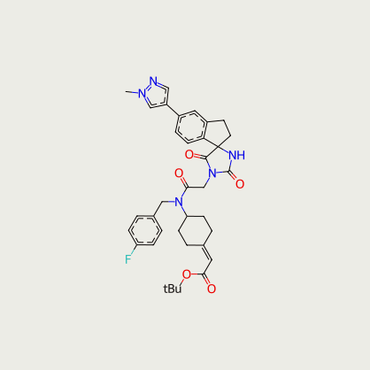 Cn1cc(-c2ccc3c(c2)CCC32NC(=O)N(CC(=O)N(Cc3ccc(F)cc3)C3CCC(=CC(=O)OC(C)(C)C)CC3)C2=O)cn1